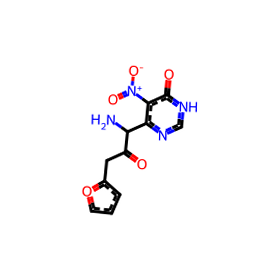 NC(C(=O)Cc1ccco1)c1nc[nH]c(=O)c1[N+](=O)[O-]